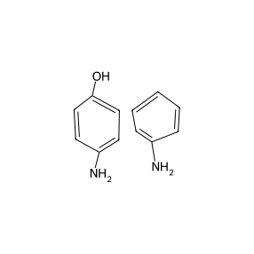 Nc1ccc(O)cc1.Nc1ccccc1